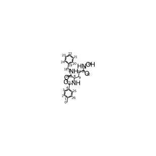 Cc1ccc(C(=O)NC(CCC(=O)NO)C(=O)NCc2ccccc2)cc1